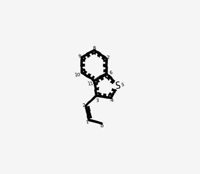 C/C=C\c1csc2ccccc12